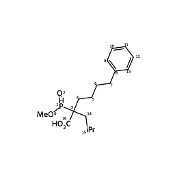 CO[PH](=O)C(CCCCc1ccccc1)(CC(C)C)C(=O)O